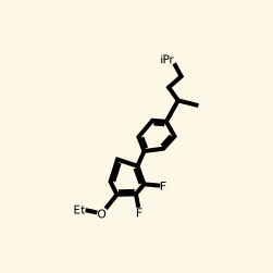 CCOc1ccc(-c2ccc(C(C)CCC(C)C)cc2)c(F)c1F